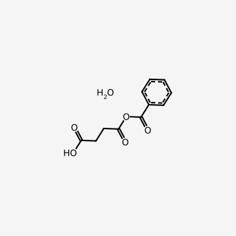 O.O=C(O)CCC(=O)OC(=O)c1ccccc1